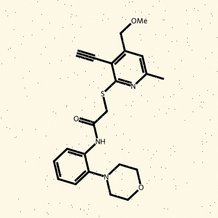 C#Cc1c(COC)cc(C)nc1SCC(=O)Nc1ccccc1N1CCOCC1